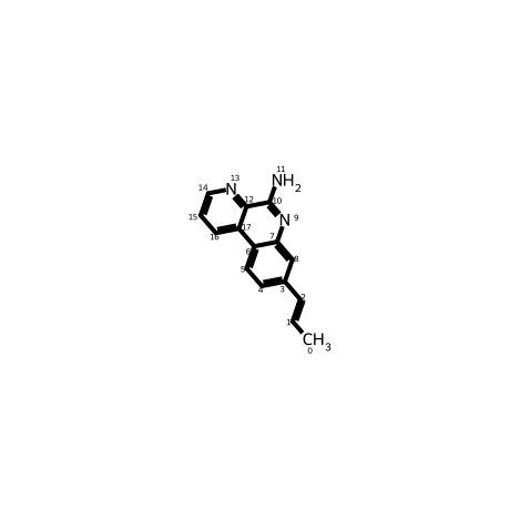 CC=Cc1ccc2c(c1)nc(N)c1ncccc12